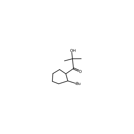 CCC(C)C1CCCCC1C(=O)C(C)(C)O